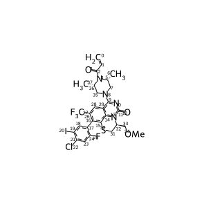 C=CC(=O)N1[C@H](C)CN(c2nc(=O)n3c4c(c(-c5cc(I)c(Cl)cc5F)c(C(F)(F)F)cc24)SC[C@@H]3COC)C[C@@H]1C